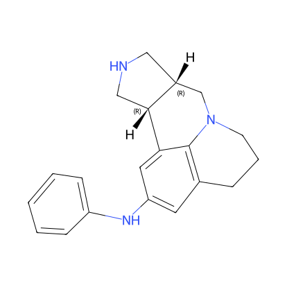 c1ccc(Nc2cc3c4c(c2)[C@@H]2CNC[C@@H]2CN4CCC3)cc1